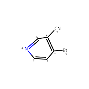 CCc1ccncc1C#N